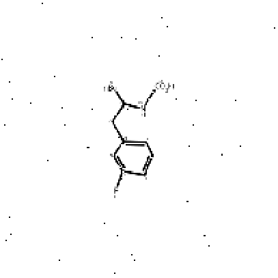 CCCCC(Cc1cccc(F)c1)NC(=O)O